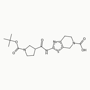 CC(C)(C)OC(=O)N1CCC(C(=O)Nc2nc3c(s2)CN(C(=O)O)CC3)C1